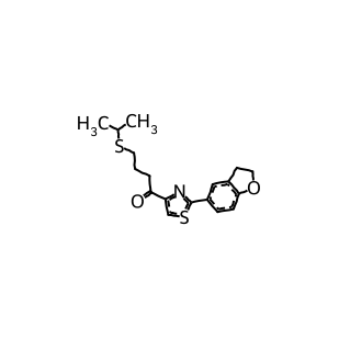 CC(C)SCCCC(=O)c1csc(-c2ccc3c(c2)CCO3)n1